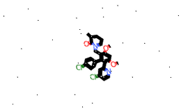 COc1cc(OC)c(-c2cc(Cl)ccn2)c(-c2ccc(Cl)cc2)c1CN1CCCC(C)C1=O